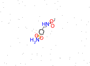 CCOC(=O)NCCc1ccc(S(N)(=O)=O)cc1